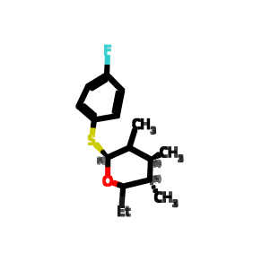 CCC1O[C@@H](Sc2ccc(F)cc2)C(C)[C@@H](C)[C@@H]1C